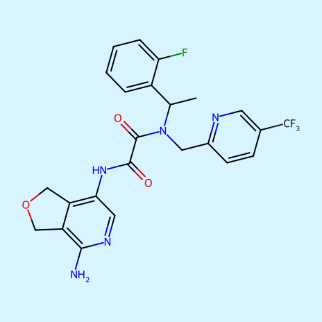 CC(c1ccccc1F)N(Cc1ccc(C(F)(F)F)cn1)C(=O)C(=O)Nc1cnc(N)c2c1COC2